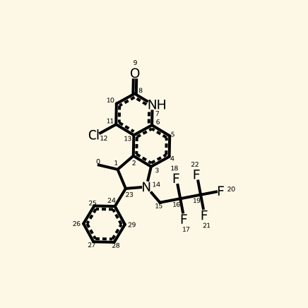 CC1c2c(ccc3[nH]c(=O)cc(Cl)c23)N(CC(F)(F)C(F)(F)F)C1c1ccccc1